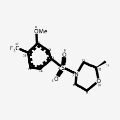 COc1cc(S(=O)(=O)N2CCO[C@H](C)C2)ccc1C(F)(F)F